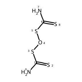 NC(=S)SOSC(N)=S